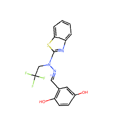 Oc1ccc(O)c(/C=N/N(CC(F)(F)F)c2nc3ccccc3s2)c1